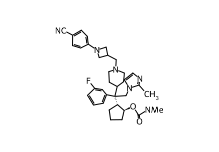 CNC(=O)O[C@H]1CCC[C@@H]1C(Cn1ccnc1C)(c1cccc(F)c1)C1CCN(CC2CN(c3ccc(C#N)cc3)C2)CC1